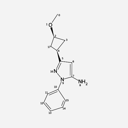 CO[C@H]1C[C@@H](c2cc(N)n(-c3ccccc3)n2)C1